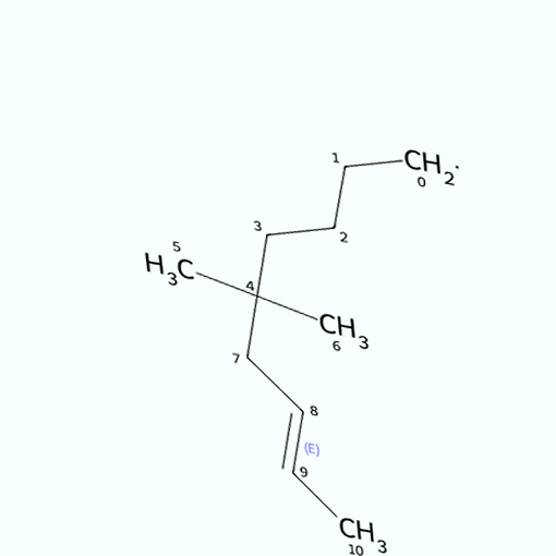 [CH2]CCCC(C)(C)C/C=C/C